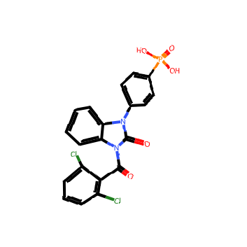 O=C(c1c(Cl)cccc1Cl)n1c(=O)n(-c2ccc(P(=O)(O)O)cc2)c2ccccc21